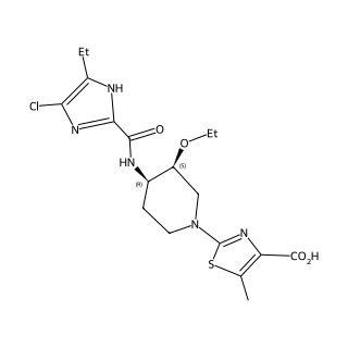 CCO[C@H]1CN(c2nc(C(=O)O)c(C)s2)CC[C@H]1NC(=O)c1nc(Cl)c(CC)[nH]1